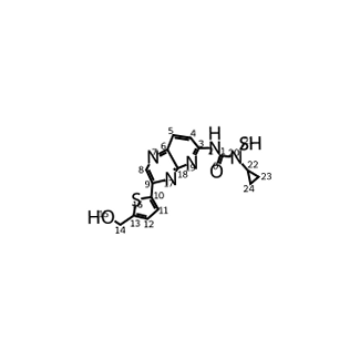 O=C(Nc1ccc2ncc(-c3ccc(CO)s3)nc2n1)N(S)C1CC1